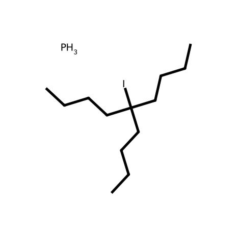 CCCCC(I)(CCCC)CCCC.P